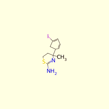 CC1(C2C=CC=C(I)C2)CCSC(N)=N1